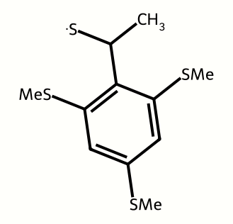 CSc1cc(SC)c(C(C)[S])c(SC)c1